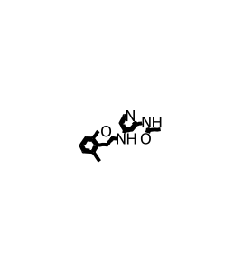 CC(=O)Nc1cc(NC(=O)Cc2c(C)cccc2C)ccn1